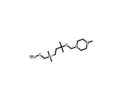 CN1CCN(CSC(C)(C)CC[N+](C)(C)CSC(C)(C)C)CC1